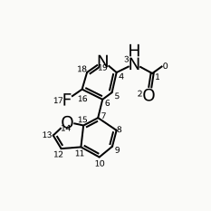 CC(=O)Nc1cc(-c2cccc3ccoc23)c(F)cn1